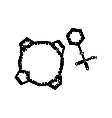 C1=Cc2cc3ccc(cc4nc(cc5ccc(cc1n2)[nH]5)C=C4)[nH]3.O=[S](=O)(O)[Zn][c]1ccccc1